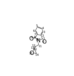 O=C1c2ccccc2C(=O)N1CC[C@H]1CO1